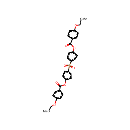 COCOc1ccc(C(=O)Oc2ccc(S(=O)(=O)c3ccc(OC(=O)c4ccc(OCOC)cc4)cc3)cc2)cc1